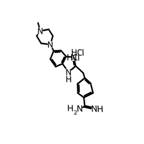 CN1CCN(c2ccc3[nH]c(Cc4ccc(C(=N)N)cc4)nc3c2)CC1.Cl.Cl